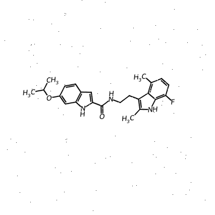 Cc1[nH]c2c(F)ccc(C)c2c1CCNC(=O)c1cc2ccc(OC(C)C)cc2[nH]1